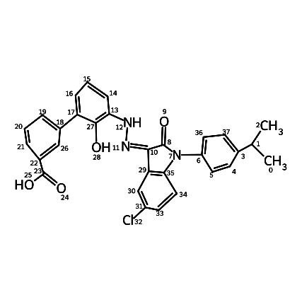 CC(C)c1ccc(N2C(=O)C(=NNc3cccc(-c4cccc(C(=O)O)c4)c3O)c3cc(Cl)ccc32)cc1